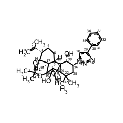 C=C(C)[C@@H]1CC[C@H]2[C@@]34COC5(OC(C)(C)O[C@H]1[C@@]25C(C)=O)[C@@H](O)[C@@H]3C(C)(C)C[C@H](n1cc(-c2ccccc2)nn1)[C@H]4O